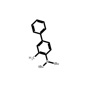 Cc1cc(-c2ccccc2)ccc1N(C(C)(C)C)C(C)(C)C